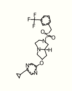 O=S(=O)(Cc1cccc(C(F)(F)F)c1)N1CCN2C[C@@H](Oc3cnc(C4CC4)cn3)C[C@H]2C1